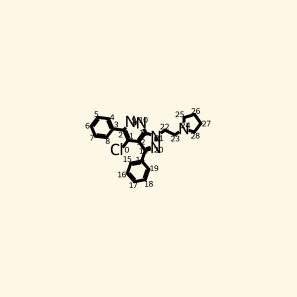 Clc1c(-c2ccccc2)nnc2c1c(-c1ccccc1)nn2CCN1CCCC1